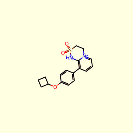 O=S1(=O)CC[n+]2cccc(-c3ccc(OC4CCC4)cc3)c2N1